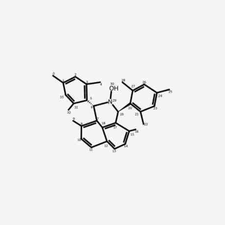 Cc1cc(C)c([C@H]2c3c(C)ccc4ccc(C)c(c34)[C@H](c3c(C)cc(C)cc3C)N2O)c(C)c1